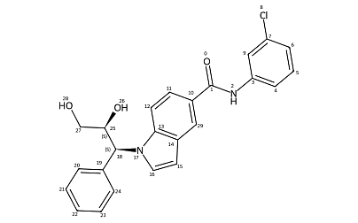 O=C(Nc1cccc(Cl)c1)c1ccc2c(ccn2[C@@H](c2ccccc2)[C@H](O)CO)c1